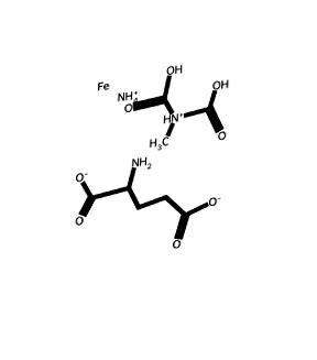 C[NH+](C(=O)O)C(=O)O.NC(CCC(=O)[O-])C(=O)[O-].[Fe].[NH4+]